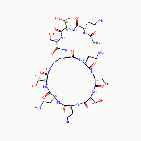 CCCCCCC(=O)N[C@@H](CCN)C(=O)N[C@H](C(=O)N[C@H](CO)C(=O)N[C@H]1CCNC(=O)[C@H]([C@@H](C)O)NC(=O)[C@H](CCN)NC(=O)[C@H](CCN)NC(=O)[C@H]([C@@H](C)O)NC(=O)[C@@H](CC(C)C)NC(=O)[C@H](CCN)NC1=O)[C@@H](C)O